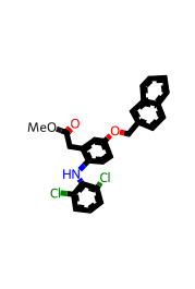 COC(=O)Cc1cc(OCc2ccc3ccccc3c2)ccc1Nc1c(Cl)cccc1Cl